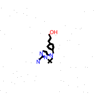 CC(C)(C)CN(Cc1ccc(C=CCO)cc1)c1ccnc(C#N)n1